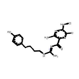 N/C(=N\C(=O)c1nc(Cl)c(NCl)nc1N)NCCCCc1ccc(O)cc1